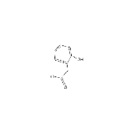 O=C(Cl)Cc1ccccc1O